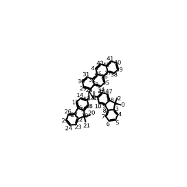 CC1(C)c2ccccc2-c2cc(N(c3ccc4c(c3)C(C)(C)c3ccccc3-4)c3cccc4c3ccc3c5ccccc5ccc43)ccc21